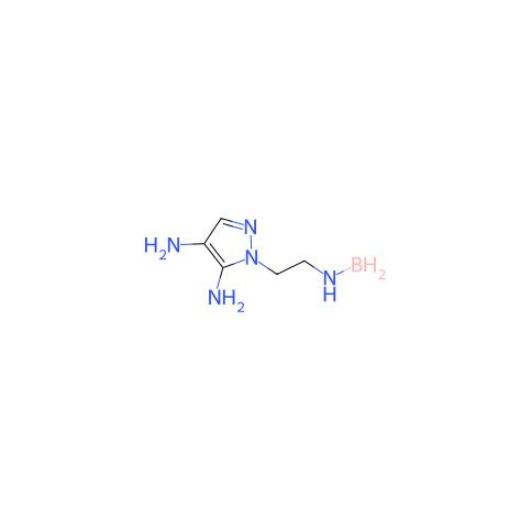 BNCCn1ncc(N)c1N